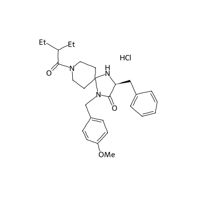 CCC(CC)C(=O)N1CCC2(CC1)N[C@@H](Cc1ccccc1)C(=O)N2Cc1ccc(OC)cc1.Cl